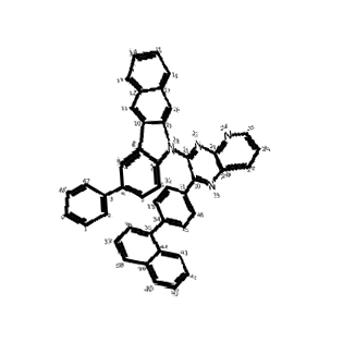 c1ccc(-c2ccc3c(c2)c2cc4ccccc4cc2n3-c2nc3ncccc3nc2-c2ccc(-c3cccc4ccccc34)cc2)cc1